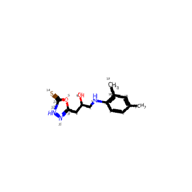 Cc1ccc(NCC(O)Cc2n[nH]c(=S)o2)c(C)c1